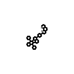 c1ccc(-c2c3c(c(-c4ccccc4)c4ccccc24)-c2ccc(-c4ccc(-c5ccc6ccc7cccnc7c6n5)cc4)c4cccc-3c24)cc1